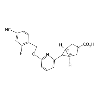 N#Cc1ccc(COc2cccc(C3[C@H]4CN(C(=O)O)C[C@@H]34)n2)c(F)c1